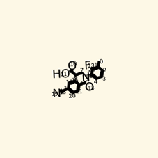 Cc1cccc(N(CCC(=O)O)C(=O)c2ccc(C#N)cc2)c1F